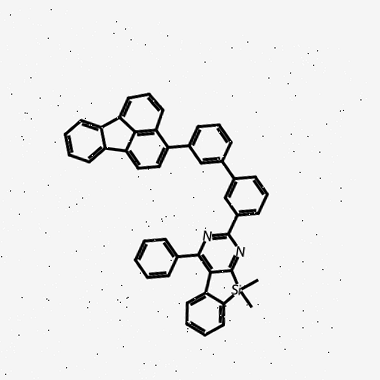 C[Si]1(C)c2ccccc2-c2c(-c3ccccc3)nc(-c3cccc(-c4cccc(-c5ccc6c7c(cccc57)-c5ccccc5-6)c4)c3)nc21